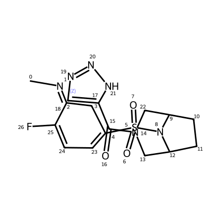 C/N=C1/CC(S(=O)(=O)N2C3CCC2CN(C(=O)c2cnn[nH]2)C3)=CC=C1F